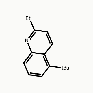 CCc1ccc2c(C(C)(C)C)cccc2n1